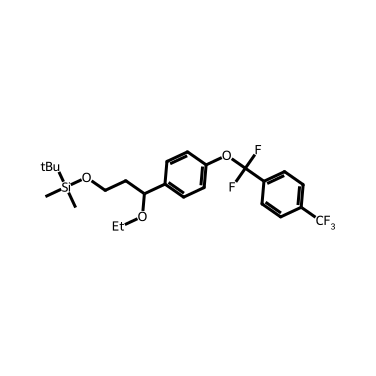 CCOC(CCO[Si](C)(C)C(C)(C)C)c1ccc(OC(F)(F)c2ccc(C(F)(F)F)cc2)cc1